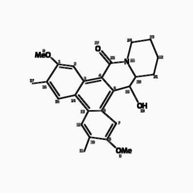 COc1cc2c3c(c4cc(OC)c(C)cc4c2cc1C)C(O)C1CCCCN1C3=O